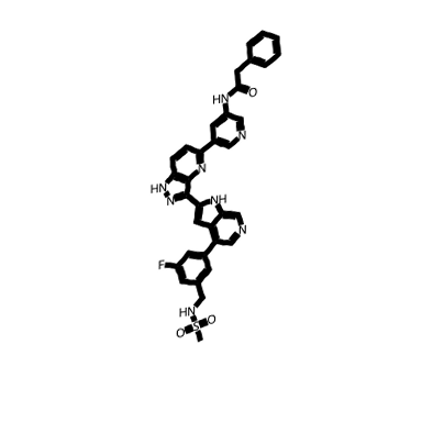 CS(=O)(=O)NCc1cc(F)cc(-c2cncc3[nH]c(-c4n[nH]c5ccc(-c6cncc(NC(=O)Cc7ccccc7)c6)nc45)cc23)c1